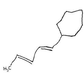 C/C=C/C=C/C1CCCCC1